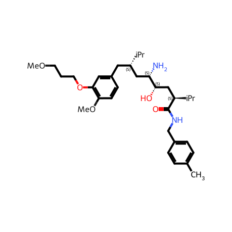 COCCCOc1cc(C[C@@H](C[C@H](N)[C@@H](O)C[C@H](C(=O)NCc2ccc(C)cc2)C(C)C)C(C)C)ccc1OC